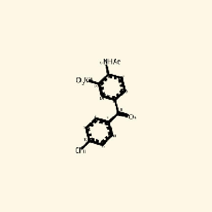 CC(=O)Nc1ccc(C(=O)c2ccc(Cl)cc2)cc1[N+](=O)[O-]